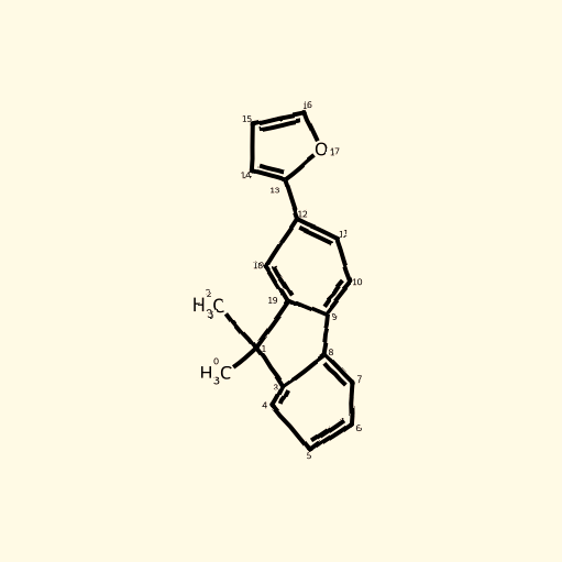 CC1(C)c2ccccc2-c2ccc(-c3ccco3)cc21